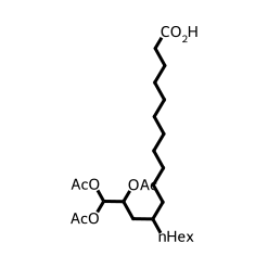 CCCCCCC(CCCCCCCCCCC(=O)O)CC(OC(C)=O)C(OC(C)=O)OC(C)=O